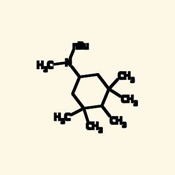 CCCCN(C)C1CC(C)(C)C(C)C(C)(C)C1